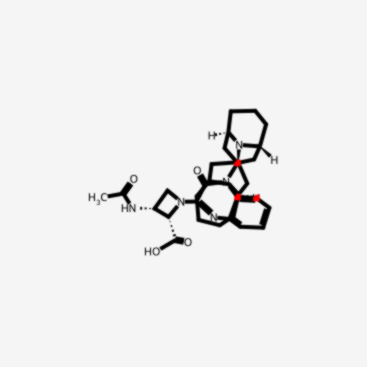 CC(=O)N[C@@H]1CN(c2nc3ccccc3n(C3C[C@H]4CCC[C@H](C3)N4[C@@H]3CC4CCCC[C@@H](C4)C3)c2=O)[C@@H]1C(=O)O